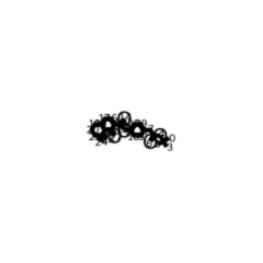 CC(C)(C)OC(=O)Cc1ccc(OC(=O)C2=CC=C3CCCC(C)(C)C3C2=O)cc1